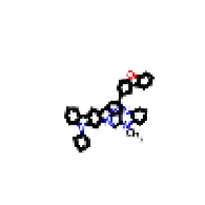 CN(c1ccccc1N)C1Cn2c3cc4c(cc3c3cc(-c5ccc6oc7ccccc7c6c5)cc1c32)c1ccccc1n4-c1ccccc1